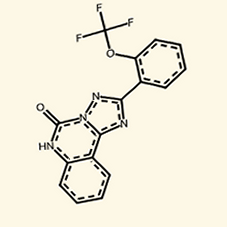 O=c1[nH]c2ccccc2c2nc(-c3ccccc3OC(F)(F)F)nn12